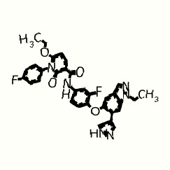 CCOc1ccc(C(=O)Nc2ccc(Oc3cc4cnn(CC)c4cc3-c3cn[nH]c3)c(F)c2)c(=O)n1-c1ccc(F)cc1